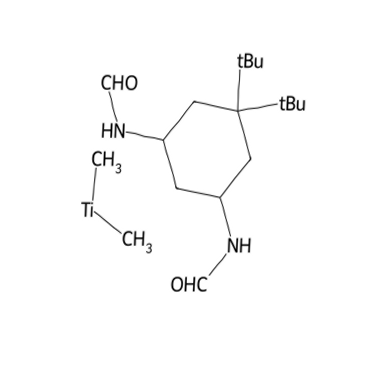 CC(C)(C)C1(C(C)(C)C)CC(NC=O)CC(NC=O)C1.[CH3][Ti][CH3]